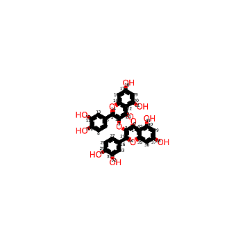 O=c1c(Oc2c(-c3ccc(O)c(O)c3)oc3cc(O)cc(O)c3c2=O)c(-c2ccc(O)c(O)c2)oc2cc(O)cc(O)c12